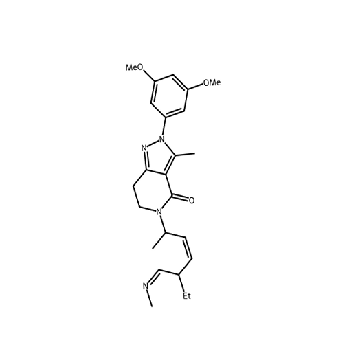 CCC(/C=C\C(C)N1CCc2nn(-c3cc(OC)cc(OC)c3)c(C)c2C1=O)/C=N\C